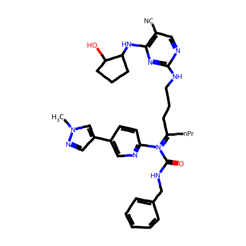 CCC/C(CCCNc1ncc(C#N)c(NC2CCCC2O)n1)=[N+](\C(=O)NCc1ccccc1)c1ccc(-c2cnn(C)c2)cn1